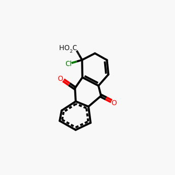 O=C1C2=C(C(=O)c3ccccc31)C(Cl)(C(=O)O)CC=C2